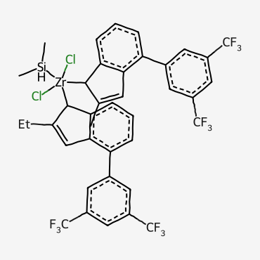 CCC1=Cc2c(-c3cc(C(F)(F)F)cc(C(F)(F)F)c3)cccc2[CH]1[Zr]([Cl])([Cl])([CH]1C(C)=Cc2c(-c3cc(C(F)(F)F)cc(C(F)(F)F)c3)cccc21)[SiH](C)C